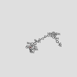 COc1cc(C(=O)NCCOCCOCCOCCOCC(=O)N[C@H](C(=O)N2C[C@H](O)C[C@H]2C(=O)NCc2ccc(-c3scnc3C)cc2)C(C)(C)C)ccc1NC(=O)[C@H]1NC(CC(C)(C)C)C(C#N)(c2ccc(Cl)cc2F)C1c1cccc(Cl)c1F